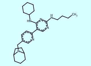 CCCCNc1ncc(-c2ccc(CN3C4CCCC3CC4)cn2)c(NC2CCCCC2)n1